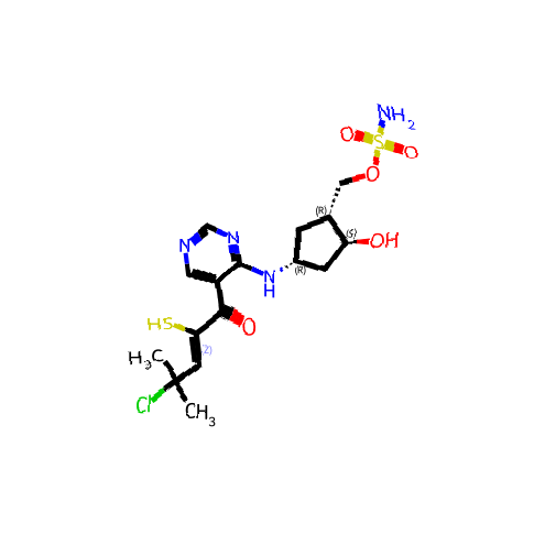 CC(C)(Cl)/C=C(\S)C(=O)c1cncnc1N[C@@H]1C[C@H](COS(N)(=O)=O)[C@@H](O)C1